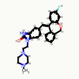 CN1CCN(CCn2c(=O)[nH]c3cc(/C=C4\c5ccccc5COc5cc(F)ccc54)ccc32)CC1